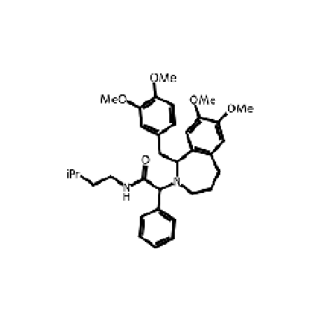 COc1ccc(CC2c3cc(OC)c(OC)cc3CCCN2C(C(=O)NCCC(C)C)c2ccccc2)cc1OC